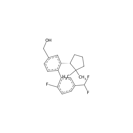 CC1(C)CCC[C@H]1c1cc(CO)ccc1-c1cc(C(F)F)ccc1F